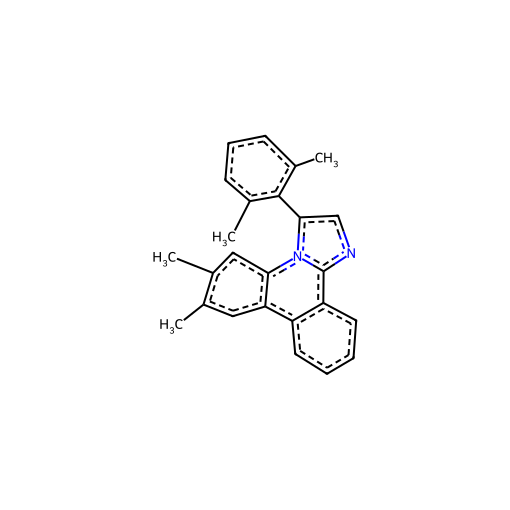 Cc1cc2c3ccccc3c3ncc(-c4c(C)cccc4C)n3c2cc1C